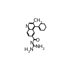 Cc1cnc2ccc(C(=O)N=C(N)N)cc2c1C1=CCCCC1